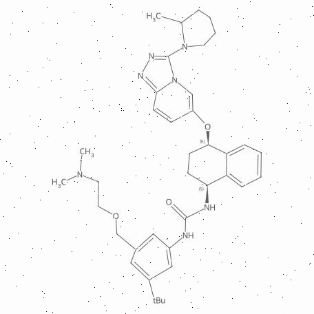 CC1CCCCN1c1nnc2ccc(O[C@@H]3CC[C@H](NC(=O)Nc4cc(COCCN(C)C)cc(C(C)(C)C)c4)c4ccccc43)cn12